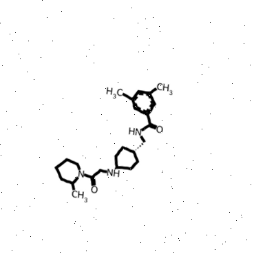 Cc1cc(C)cc(C(=O)NC[C@H]2CC[C@@H](NCC(=O)N3CCCCC3C)CC2)c1